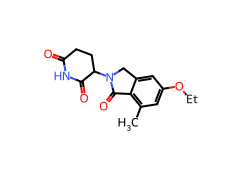 CCOc1cc(C)c2c(c1)CN(C1CCC(=O)NC1=O)C2=O